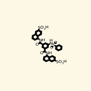 O=C(Nc1cccc2cc(S(=O)(=O)O)ccc12)c1cc(NS(=O)(=O)c2ccccc2)cc(C(=O)Nc2cccc3cc(S(=O)(=O)O)ccc23)c1